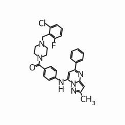 Cc1cc2nc(-c3ccccc3)cc(Nc3ccc(C(=O)N4CCN(Cc5c(F)cccc5Cl)CC4)cc3)n2n1